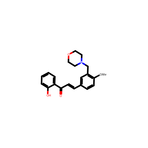 COc1ccc(/C=C/C(=O)c2ccccc2O)cc1CN1CCOCC1